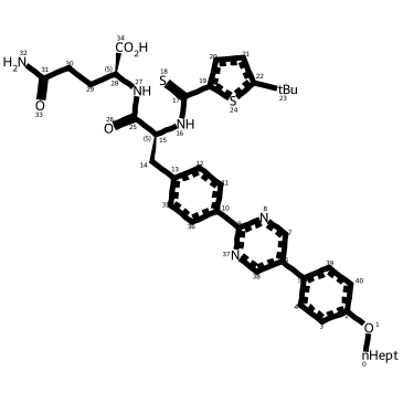 CCCCCCCOc1ccc(-c2cnc(-c3ccc(C[C@H](NC(=S)c4ccc(C(C)(C)C)s4)C(=O)N[C@@H](CCC(N)=O)C(=O)O)cc3)nc2)cc1